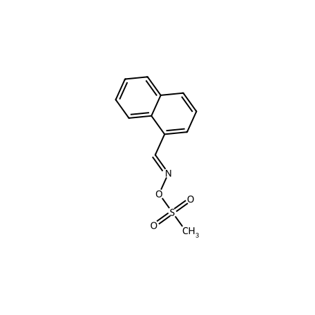 CS(=O)(=O)ON=Cc1cccc2ccccc12